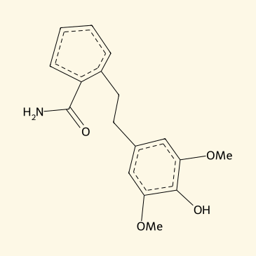 COc1cc(CCc2ccccc2C(N)=O)cc(OC)c1O